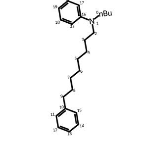 CCCCN(CCCCCCCCc1ccccc1)c1ccccc1